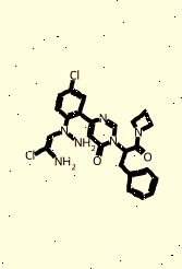 N/C(Cl)=C\N(N)c1ccc(Cl)cc1-c1cc(=O)n(C(Cc2ccccc2)C(=O)N2CCC2)cn1